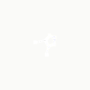 CCn1nnnc1C(C)C